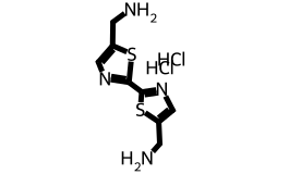 Cl.Cl.NCc1cnc(-c2ncc(CN)s2)s1